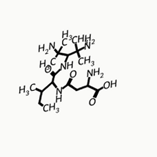 CCC(C)C(NC(=O)CC(N)C(=O)O)C(=O)NC(C(C)(C)N)C(C)(C)N